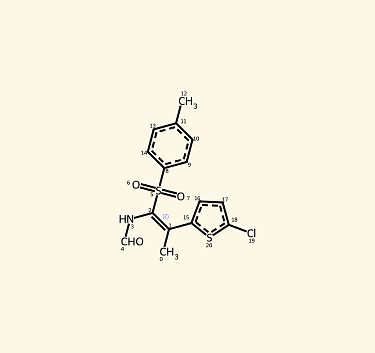 C/C(=C(\NC=O)S(=O)(=O)c1ccc(C)cc1)c1ccc(Cl)s1